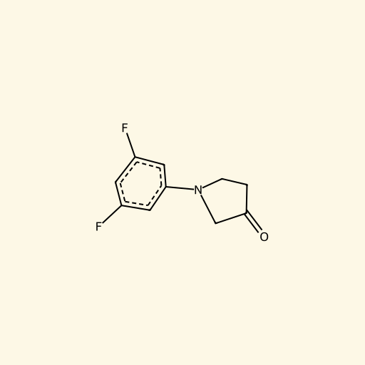 O=C1CCN(c2cc(F)cc(F)c2)C1